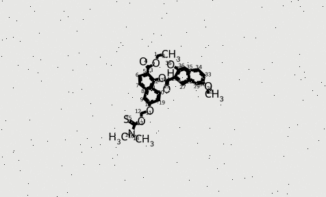 CCOC(=O)c1ccc2cc(OCOC(=S)N(C)C)ccc2c1OC(=O)c1cc2cc(OC)ccc2cc1O